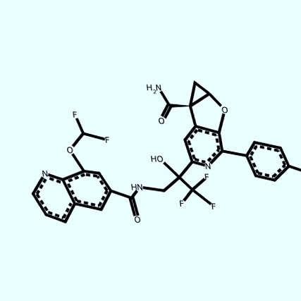 NC(=O)[C@@]12CC1Oc1c2cc(C(O)(CNC(=O)c2cc(OC(F)F)c3ncccc3c2)C(F)(F)F)nc1-c1ccc(F)cc1